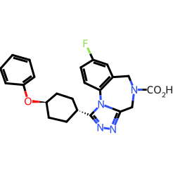 O=C(O)N1Cc2cc(F)ccc2-n2c(nnc2[C@H]2CC[C@H](Oc3ccccc3)CC2)C1